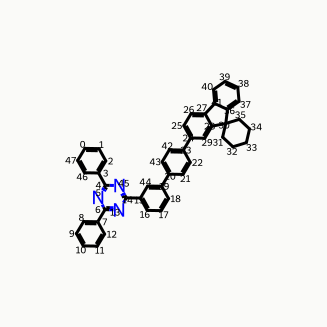 c1ccc(-c2nc(-c3ccccc3)nc(-c3cccc(-c4ccc(-c5ccc6c(c5)C5(CCCCC5)c5ccccc5-6)cc4)c3)n2)cc1